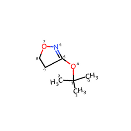 CC(C)(C)OC1=NOCC1